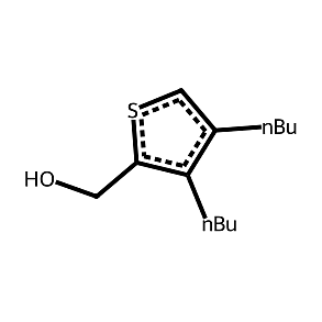 CCCCc1csc(CO)c1CCCC